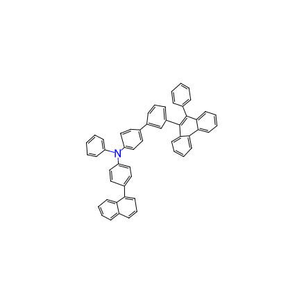 c1ccc(-c2c(-c3cccc(-c4ccc(N(c5ccccc5)c5ccc(-c6cccc7ccccc67)cc5)cc4)c3)c3ccccc3c3ccccc23)cc1